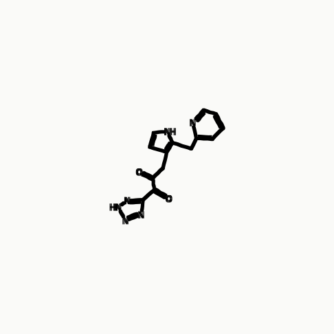 O=C(Cc1cc[nH]c1Cc1ccccn1)C(=O)c1nn[nH]n1